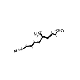 CCCCCCCCCCC([SiH3])CCCC=O